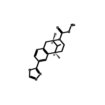 CC1[C@H]2Cc3ccc(-c4nnco4)cc3[C@]1(C)CCN2C(=O)OC(C)(C)C